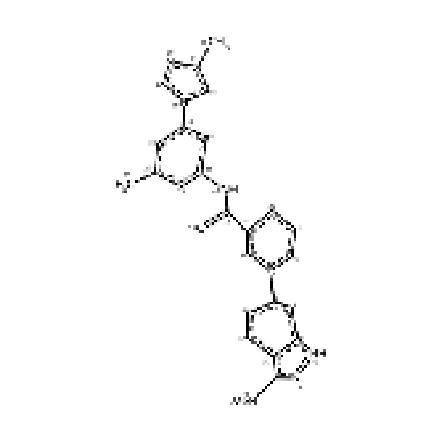 CNc1n[nH]c2cc(-c3cccc(C(=O)Nc4cc(-n5cnc(C)c5)cc(C(F)(F)F)c4)c3)ccc12